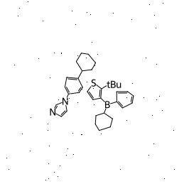 CC(C)(C)c1sccc1B(c1ccccc1)C1CCCCC1.c1cn(-c2ccc(C3CCCCC3)cc2)cn1